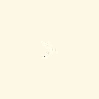 O.[Na+].[Na+].[Na+].[O-2]